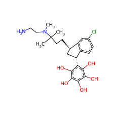 CN(CCN)C(C)(C)CC[C@@H]1C[C@@H](c2c(O)c(O)c(O)c(O)c2O)c2ccc(Cl)cc21